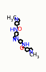 Cn1ccc2cc(C(=O)Nc3ccc(-n4ncc5cc(NC(=O)c6ccc7c(ccn7C)c6)ccc54)cc3)ccc21